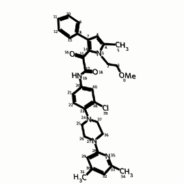 COCCn1c(C)cc(-c2ccccc2)c1C(=O)C(=O)Nc1ccc(N2CCN(c3cc(C)cc(C)n3)CC2)c(Cl)c1